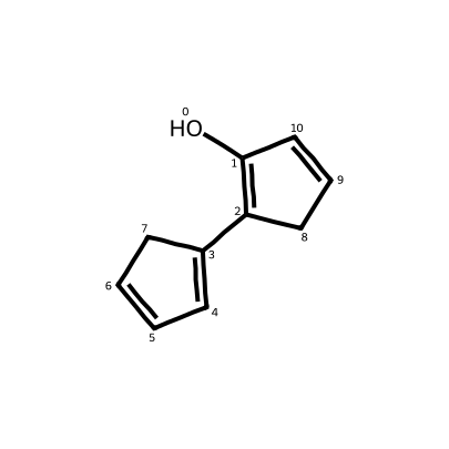 OC1=C(C2=CC=CC2)CC=C1